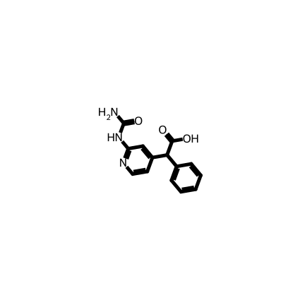 NC(=O)Nc1cc(C(C(=O)O)c2ccccc2)ccn1